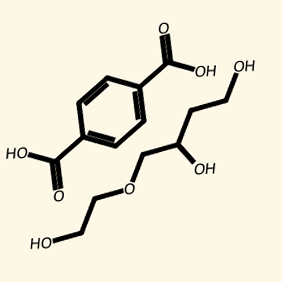 O=C(O)c1ccc(C(=O)O)cc1.OCCOCC(O)CCO